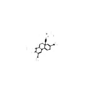 CC1(C)C(=O)C(C#N)=CC2(C)C3=CC(=O)C(C#N)=CC3(C#C[Si](C)(C)C)CCC12